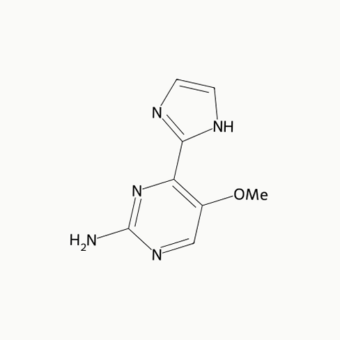 COc1cnc(N)nc1-c1ncc[nH]1